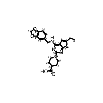 CCc1cc2c(NCc3ccc4c(c3)OCO4)nc(N3CCC(C(=O)O)CC3)nc2s1